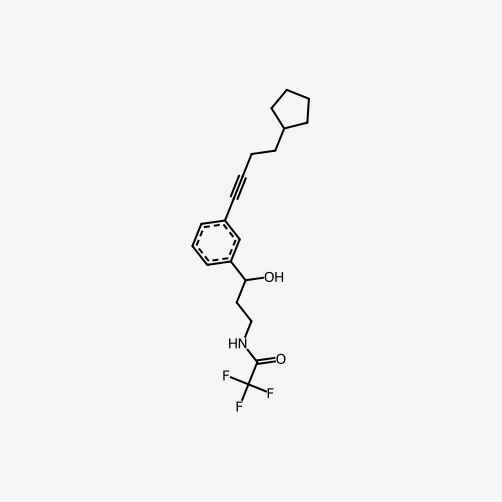 O=C(NCCC(O)c1cccc(C#CCCC2CCCC2)c1)C(F)(F)F